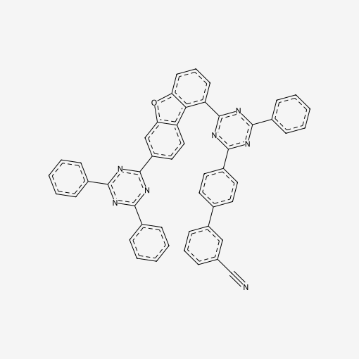 N#Cc1cccc(-c2ccc(-c3nc(-c4ccccc4)nc(-c4cccc5oc6cc(-c7nc(-c8ccccc8)nc(-c8ccccc8)n7)ccc6c45)n3)cc2)c1